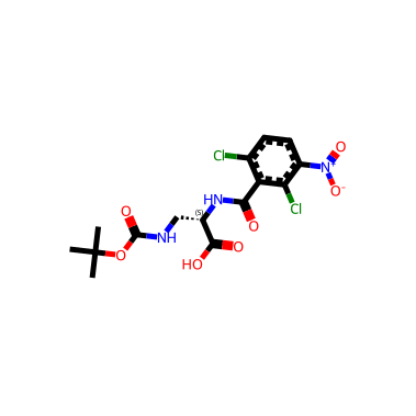 CC(C)(C)OC(=O)NC[C@H](NC(=O)c1c(Cl)ccc([N+](=O)[O-])c1Cl)C(=O)O